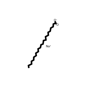 CCCCCCCCCCCCCCCCCCCCCCC(=O)[O-].[Na+]